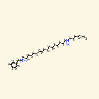 [SiH3]CCCNCCCCCCCCCCCCCCCCCNCc1ccccc1